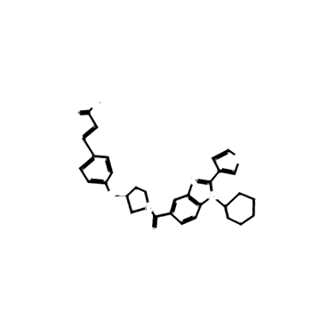 O=C(O)C=Cc1ccc(O[C@H]2CCN(C(=O)c3ccc4c(c3)nc(-c3ccoc3)n4C3CCCCC3)C2)cc1